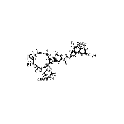 CC[C@H]1OC(=O)[C@H](C)C([C@H]2C[C@@](C)(OC)[C@@H](O)[C@H](C)O2)[C@H](C)[C@@H](O[C@H]2C[C@@H](N(C)CCc3cn([C@H](CF)[C@H](OC)c4ccc(C(=O)O)cc4)nn3)C[C@@H](C)O2)[C@](C)(O)C[C@@H](C)CN(C)[C@H](C)[C@@H](O)[C@]1(C)O